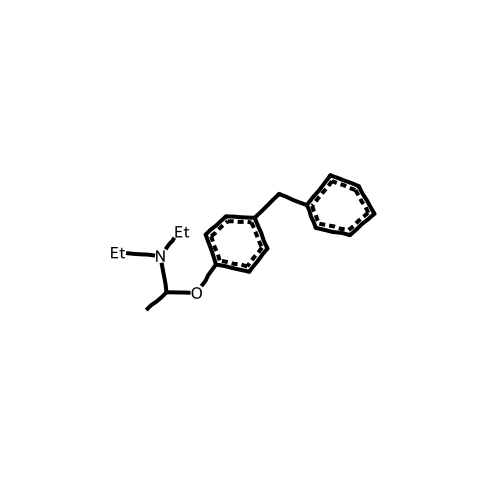 CCN(CC)C(C)Oc1ccc(Cc2ccccc2)cc1